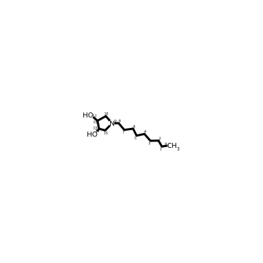 CCCCCCCCCN1CC(O)C(O)C1